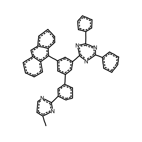 Cc1ccnc(-c2cccc(-c3cc(-c4nc(-c5ccccc5)nc(-c5ccccc5)n4)cc(-c4c5ccccc5cc5ccccc45)c3)c2)n1